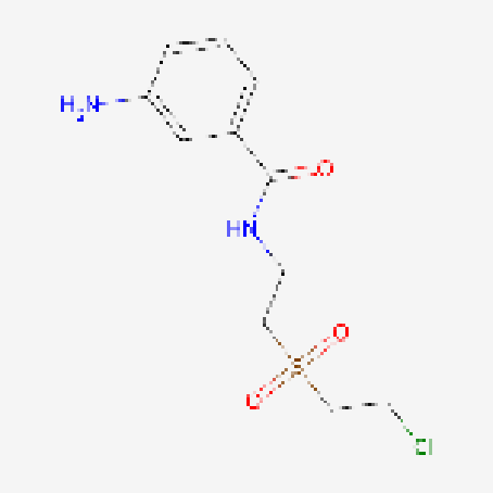 Nc1cccc(C(=O)NCCS(=O)(=O)CCCl)c1